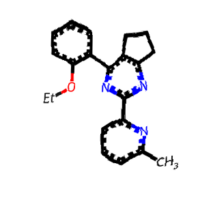 CCOc1ccccc1-c1nc(-c2cccc(C)n2)nc2c1CCC2